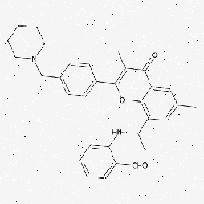 Cc1cc(C(C)Nc2ccccc2C=O)c2oc(-c3ccc(CN4CCCCC4)cc3)c(C)c(=O)c2c1